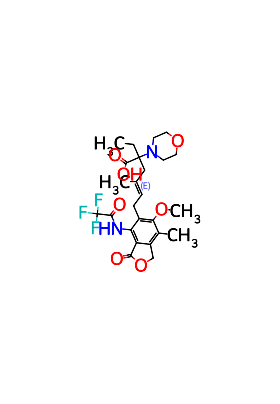 CCC(C/C(C)=C/Cc1c(NC(=O)C(F)(F)F)c2c(c(C)c1OC)COC2=O)(C(=O)O)N1CCOCC1